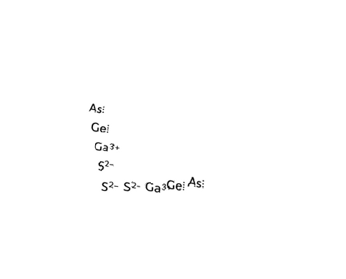 [As].[As].[Ga+3].[Ga+3].[Ge].[Ge].[S-2].[S-2].[S-2]